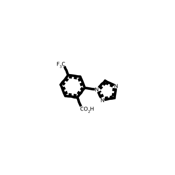 O=C(O)c1ccc(C(F)(F)F)cc1-n1cncn1